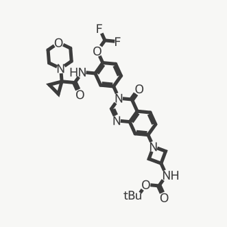 CC(C)(C)OC(=O)NC1CN(c2ccc3c(=O)n(-c4ccc(OC(F)F)c(NC(=O)C5(N6CCOCC6)CC5)c4)cnc3c2)C1